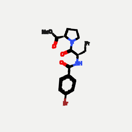 COC(=O)[C@@H]1CCCN1C(=O)[C@H](CC(C)C)NC(=O)c1ccc(Br)cc1